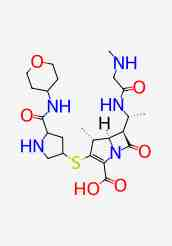 CNCC(=O)N[C@H](C)[C@H]1C(=O)N2C(C(=O)O)=C(SC3CNC(C(=O)NC4CCOCC4)C3)[C@H](C)[C@@H]12